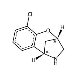 Clc1cccc2c1O[C@@H]1CN[C@H]2C1